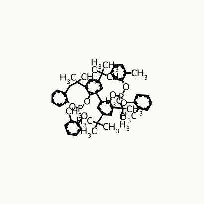 Cc1ccccc1OP(Oc1ccccc1C)Oc1c(-c2cc(C(C)(C)C)cc3c2OP(Oc2ccccc2C)Oc2ccccc2CC3(C)C)cc(C(C)(C)C)cc1C(C)(C)C